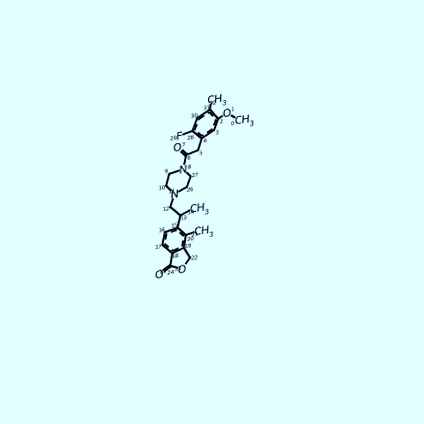 COc1cc(CC(=O)N2CCN(CC(C)c3ccc4c(c3C)COC4=O)CC2)c(F)cc1C